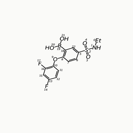 CCNS(=O)(=O)c1ccc(Oc2ccc(F)cc2F)c(B(O)O)c1